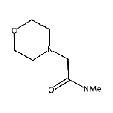 CNC(=O)CN1CCOCC1